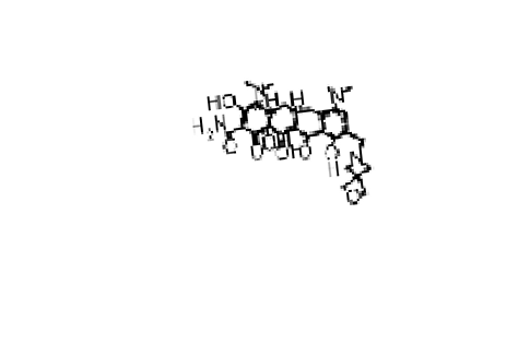 CN(C)c1cc(CN2CC3(COC3)C2)c(O)c2c1C[C@H]1C[C@H]3[C@H](N(C)C)C(O)=C(C(N)=O)C(=O)[C@@]3(O)C(O)=C1C2=O